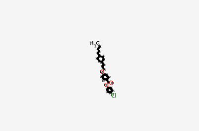 CCCCCC1CCC(/C=C/COc2ccc(C(=O)Oc3ccc(Cl)cc3)cc2)CC1